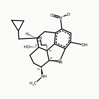 CN[C@H]1CC[C@@]2(O)[C@H]3Cc4c([N+](=O)[O-])cc(O)c5c4[C@@]2(CCN3CC2CC2)[C@H]1O5